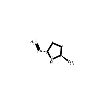 C=C[C@H]1B[C@H](C)CC1